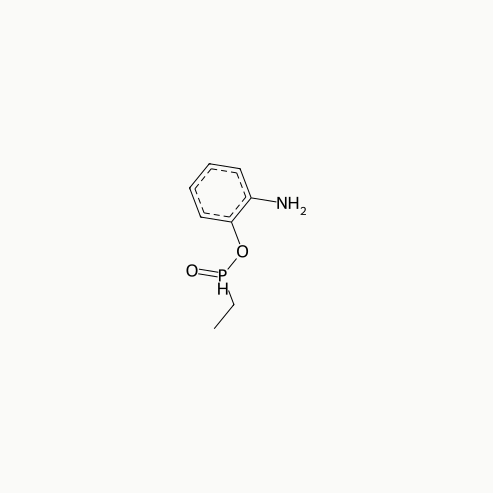 CC[PH](=O)Oc1ccccc1N